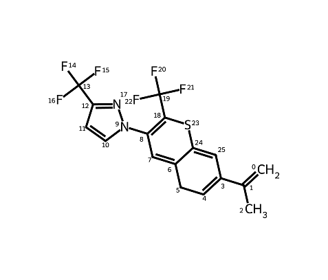 C=C(C)C1=CCC2=CC(n3ccc(C(F)(F)F)n3)=C(C(F)(F)F)SC2=C1